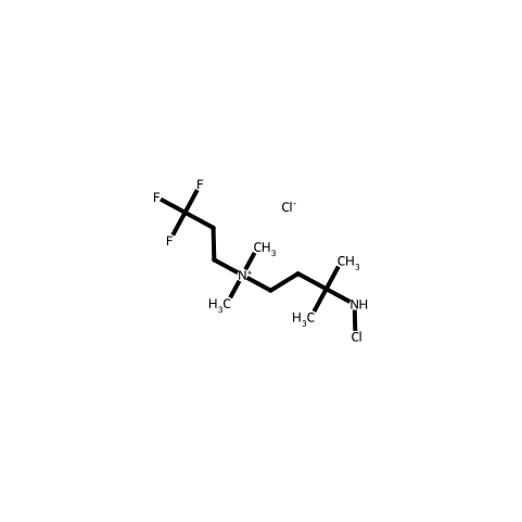 CC(C)(CC[N+](C)(C)CCC(F)(F)F)NCl.[Cl-]